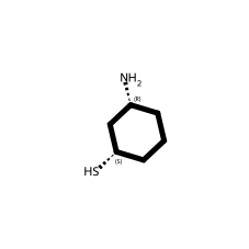 N[C@@H]1CCC[C@H](S)C1